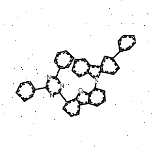 c1ccc(-c2ccc3c(c2)c2ccccc2n3-c2cccc3c2oc2c(-c4nc(-c5ccccc5)nc(-c5ccccc5)n4)cccc23)cc1